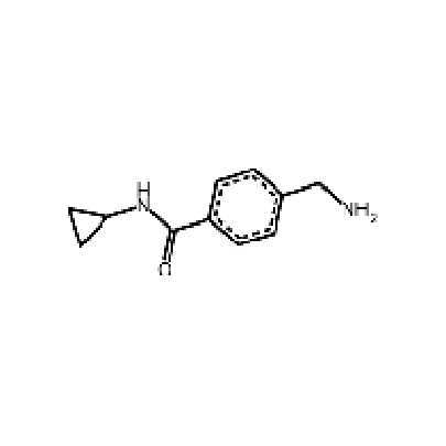 NCc1ccc(C(=O)NC2CC2)cc1